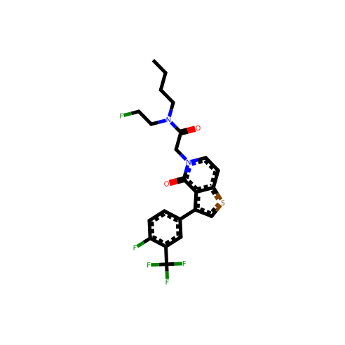 CCCCN(CCF)C(=O)Cn1ccc2scc(-c3ccc(F)c(C(F)(F)F)c3)c2c1=O